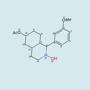 COc1cccc(C2C3CCC(OC(C)=O)CC3CCN2O)c1